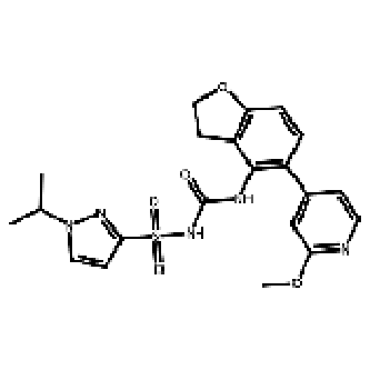 COc1cc(-c2ccc3c(c2NC(=O)NS(=O)(=O)c2ccn(C(C)C)n2)CCO3)ccn1